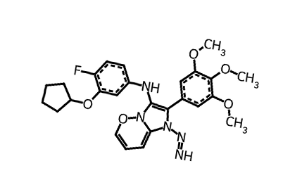 COc1cc(C2=C(Nc3ccc(F)c(OC4CCCC4)c3)N3OC=CC=C3N2N=N)cc(OC)c1OC